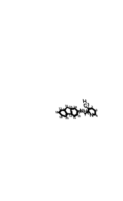 Cc1cccnc1CNc1ccc2c(c1)Cc1ccccc1-2